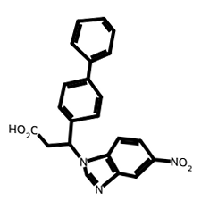 O=C(O)CC(c1ccc(-c2ccccc2)cc1)n1cnc2cc([N+](=O)[O-])ccc21